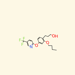 CCCCOc1cc(Oc2ccc(C(F)(F)F)cn2)ccc1CCCO